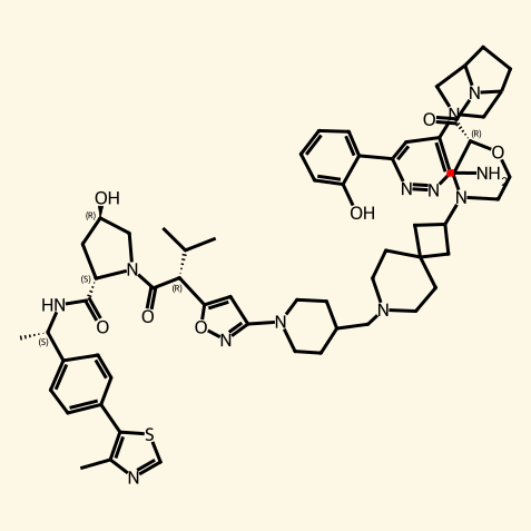 Cc1ncsc1-c1ccc([C@H](C)NC(=O)[C@@H]2C[C@@H](O)CN2C(=O)[C@@H](c2cc(N3CCC(CN4CCC5(CC4)CC(N4CCO[C@@H](C(=O)N6C7CCC6CN(c6cc(-c8ccccc8O)nnc6N)C7)C4)C5)CC3)no2)C(C)C)cc1